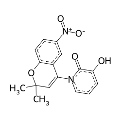 CC1(C)C=C(n2cccc(O)c2=O)c2cc([N+](=O)[O-])ccc2O1